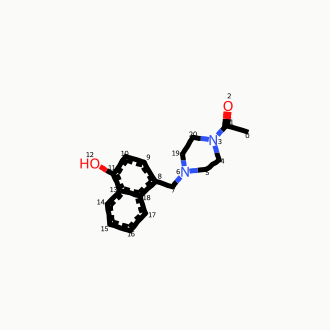 CC(=O)N1CCN(Cc2ccc(O)c3ccccc23)CC1